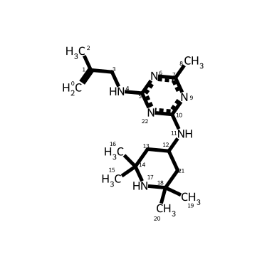 C=C(C)CNc1nc(C)nc(NC2CC(C)(C)NC(C)(C)C2)n1